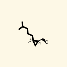 CC(C)CCC[C@]1(C)C[C@@H]1C=O